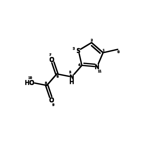 Cc1csc(NC(=O)C(=O)O)n1